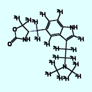 [2H]c1[nH]c2c([2H])c([2H])c(C([2H])([2H])[C@@H]3NC(=O)OC3([2H])[2H])c([2H])c2c1C([2H])([2H])C([2H])([2H])N(C([2H])([2H])[2H])C([2H])([2H])[2H]